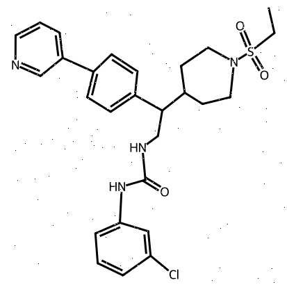 CCS(=O)(=O)N1CCC(C(CNC(=O)Nc2cccc(Cl)c2)c2ccc(-c3cccnc3)cc2)CC1